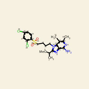 COC(C)c1nc2c(N)nc(C)c(C)c2n1CCCCS(=O)(=O)c1ccc(Cl)cc1Cl